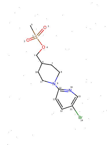 CS(=O)(=O)OCC1CCN(c2ccc(Br)cn2)CC1